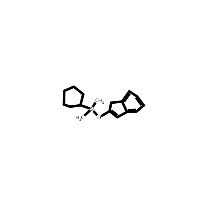 C[Si](C)(OC1=Cc2ccccc2C1)C1CCCCC1